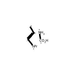 C/C=C/CCC.NC(=O)O